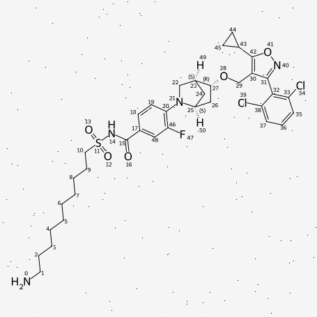 NCCCCCCCCCCS(=O)(=O)NC(=O)c1ccc(N2C[C@@H]3C[C@H]2C[C@H]3OCc2c(-c3c(Cl)cccc3Cl)noc2C2CC2)c(F)c1